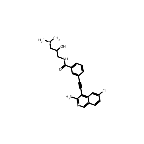 CN(C)CC(O)CNC(=O)c1cccc(C#Cc2c(N)ncc3ccc(Cl)cc23)c1